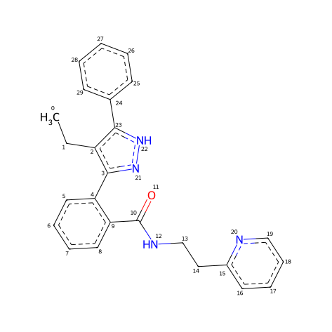 CCc1c(-c2ccccc2C(=O)NCCc2ccccn2)n[nH]c1-c1ccccc1